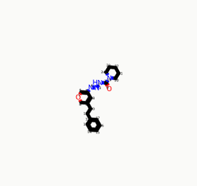 O=C(NN=NC1=COCC(CCc2ccccc2)=C1)N1CCCCC1